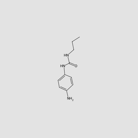 CCCNC(=O)Nc1ccc(N)cc1